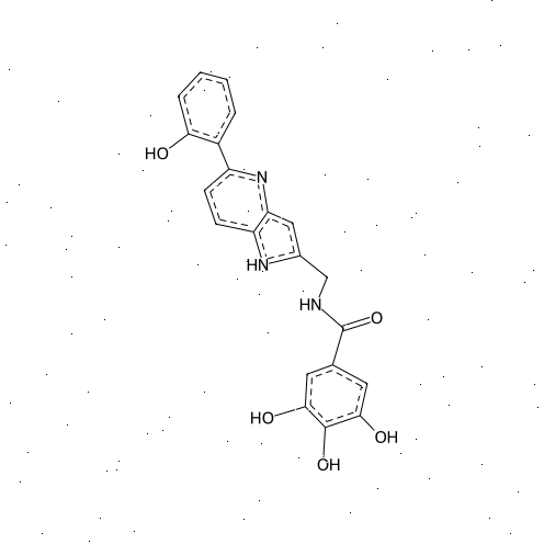 O=C(NCc1cc2nc(-c3ccccc3O)ccc2[nH]1)c1cc(O)c(O)c(O)c1